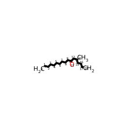 C=CCCCCCCCCC(=O)CC(C)CCC=C